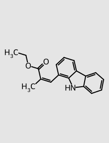 CCOC(=O)C(C)=Cc1cccc2c1[nH]c1ccccc12